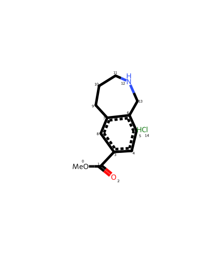 COC(=O)c1ccc2c(c1)CCCNC2.Cl